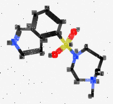 CN1CCCN(S(=O)(=O)c2cccc3cnccc23)CC1